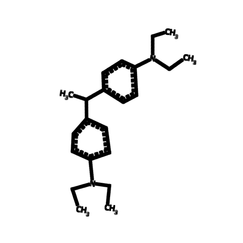 CCN(CC)c1ccc(C(C)c2ccc(N(CC)CC)cc2)cc1